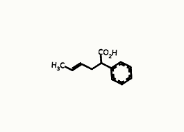 CC=CCC(C(=O)O)c1ccccc1